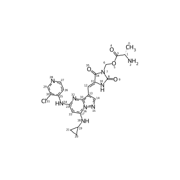 C[C@H](N)C(=O)OCN1C(=O)N/C(=C\c2cnn3c(NC4CC4)cc(Nc4ccncc4Cl)nc23)C1=O